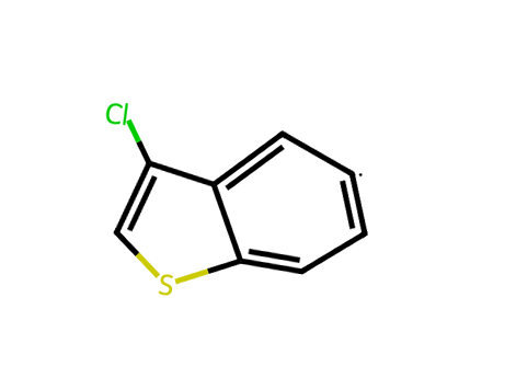 Clc1csc2cc[c]cc12